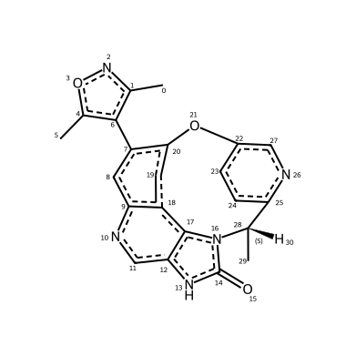 Cc1noc(C)c1-c1cc2ncc3[nH]c(=O)n4c3c2cc1Oc1ccc(nc1)[C@@H]4C